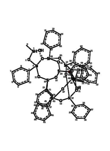 C[SiH](O)O[Si]1(c2ccccc2)O[Si]2(c3ccccc3)O[Si]3(c4ccccc4)O[Si](C)(O)O[Si]4(c5ccccc5)O[Si](c5ccccc5)(O[Si](O)(c5ccccc5)O[Si](c5ccccc5)(O4)O[Si](c4ccccc4)(O1)O3)O2